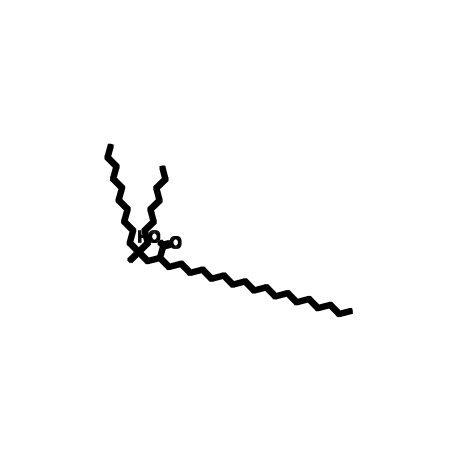 CCCCCCCCCCCCCCCCCCC(CC(C)(CCCCCCCC)CCCCCCCCCC)C(=O)O